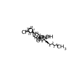 CCCCCC#CC(CS(=O)(=O)N1CCN(c2cccc(Cl)c2)CC1)NO